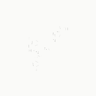 CC(=O)c1ccc(N2CCC(C(=O)N3C[C@@H](N(C)C(=O)Oc4ccc(F)cc4)[C@H](c4ccc(F)c(Cl)c4)C3)CC2)nc1